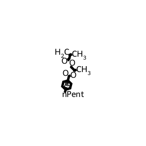 C=C(C)C(=O)OCC(C)OC(=O)C12CCC(CCCCC)(CC1)CC2